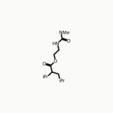 CNC(=O)NCCOC(=O)C(CC(C)C)C(C)C